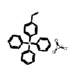 CCc1ccc([P+](c2ccccc2)(c2ccccc2)c2ccccc2)cc1.[O-][Cl+2]([O-])[O-]